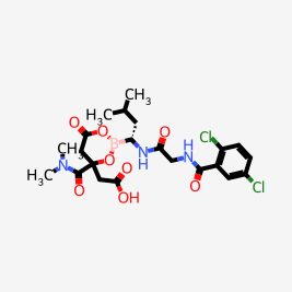 CC(C)C[C@H](NC(=O)CNC(=O)c1cc(Cl)ccc1Cl)B1OC(=O)CC(CC(=O)O)(C(=O)N(C)C)O1